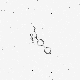 CC=CCN(c1ccc(-c2ccncc2)cc1)S(C)(=O)=O